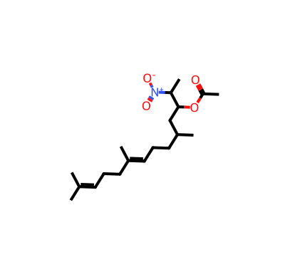 CC(=O)OC(CC(C)CC/C=C(\C)CCC=C(C)C)C(C)[N+](=O)[O-]